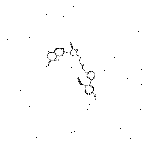 COc1ccc(C#N)c(-c2cccc(CNCCC3CN(c4ccc5c(c4)NC(=O)CS5)C(=O)O3)c2)c1